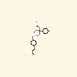 COC(=O)C=Cc1ccc(CN2CCC(CC(=O)NO)(c3ccc(Cl)cc3)CC2)cc1